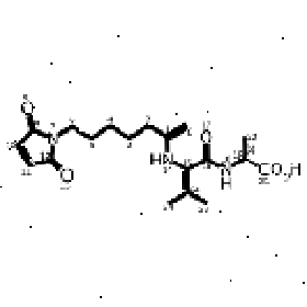 C=C(CCCCCN1C(=O)C=CC1=O)NC(C(=O)N[C@@H](C)C(=O)O)=C(C)C